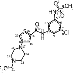 CS(=O)(=O)Nc1cc(Cl)cc(NC(=O)c2cc(N3CCN(CC(F)(F)F)CC3)cs2)c1